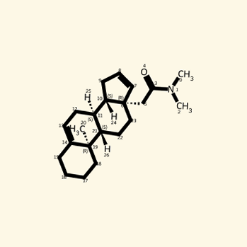 CN(C)C(=O)C[C@@]12C=CC[C@H]1[C@@H]1CC=C3CCCC[C@]3(C)[C@H]1CC2